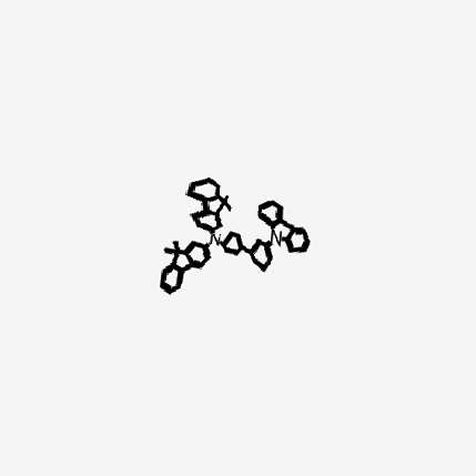 CC1(C)c2ccccc2-c2ccc(N(c3ccc(-c4cccc(-n5c6ccccc6c6ccccc65)c4)cc3)c3ccc4c(c3)C(C)(C)c3ccccc3-4)cc21